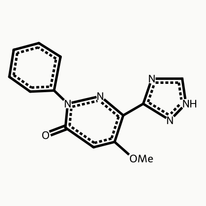 COc1cc(=O)n(-c2ccccc2)nc1-c1nc[nH]n1